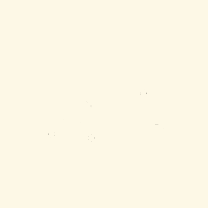 O=C1C(=O)N(CCC(=O)C(F)(F)F)c2ccccc21